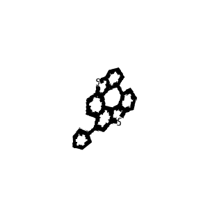 c1ccc(-c2cc3sc4cccc5c4c3c3c2ccc2sc4cccc-5c4c23)cc1